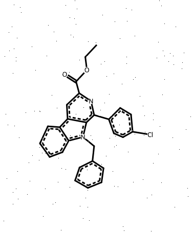 CCOC(=O)c1cc2c3ccccc3n(Cc3ccccc3)c2c(-c2ccc(Cl)cc2)n1